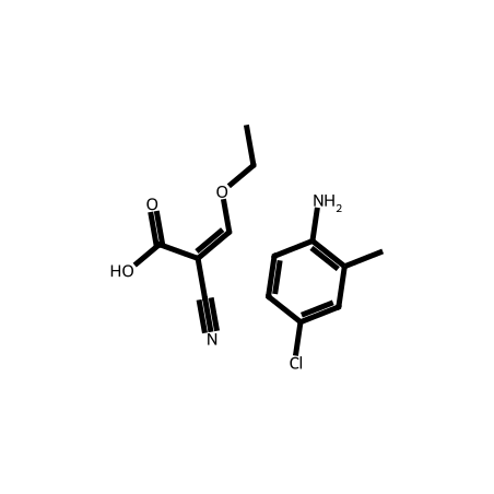 CCOC=C(C#N)C(=O)O.Cc1cc(Cl)ccc1N